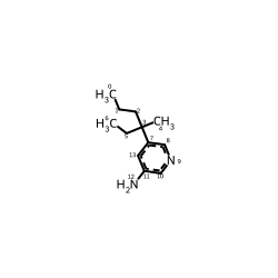 CCCC(C)(CC)c1cncc(N)c1